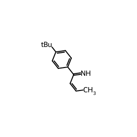 C/C=C\C(=N)c1ccc(C(C)(C)C)cc1